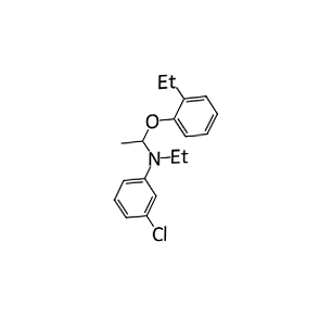 CCc1ccccc1OC(C)N(CC)c1cccc(Cl)c1